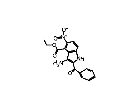 CCOC(=O)c1c([N+](=O)[O-])ccc2[nH]c(C(=O)c3ccccc3)c(N)c12